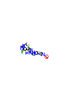 COCCN1CCC(N2CCc3nc(Nc4ncc(F)c(-c5cc(F)c6nc(C)n(CC(C)C)c6c5)n4)ccc3C2)CC1